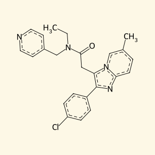 CCN(Cc1ccncc1)C(=O)Cc1c(-c2ccc(Cl)cc2)nc2ccc(C)cn12